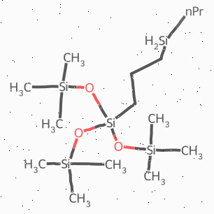 CCC[SiH2]CCC[Si](O[Si](C)(C)C)(O[Si](C)(C)C)O[Si](C)(C)C